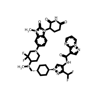 CN(C[C@H]1CC[C@H](n2cc(NC(=O)c3cnn4cccnc34)c(C(F)F)n2)CC1)C1CCN(c2ccc3c(c2)n(C)c(=O)n3C2CCC(=O)NC2=O)CC1(F)F